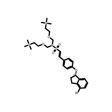 C[Si](C)(C)CCOCN(COCC[Si](C)(C)C)S(=O)(=O)C=Cc1ccc(O[C@@H]2CCc3c(Br)cccc32)cc1